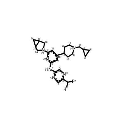 FC(F)c1cnc(Nc2cc(C3CCN(CC4CC4)CC3)cc(N3CC4CC4C3)n2)cn1